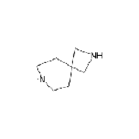 C1CC2(CC[N]1)CNC2